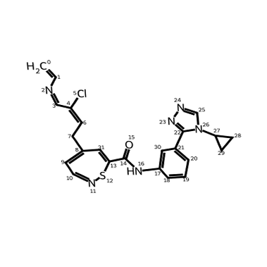 C=C/N=C\C(Cl)=C/CC1=CC=NSC(C(=O)Nc2cccc(-c3nncn3C3CC3)c2)=C1